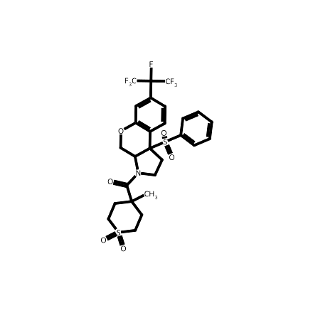 CC1(C(=O)N2CCC3(S(=O)(=O)c4ccccc4)c4ccc(C(F)(C(F)(F)F)C(F)(F)F)cc4OCC23)CCS(=O)(=O)CC1